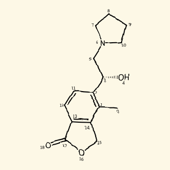 Cc1c([C@@H](O)CN2CCCC2)ccc2c1COC2=O